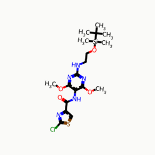 COc1nc(NCCO[Si](C)(C)C(C)(C)C)nc(OC)c1NC(=O)c1csc(Cl)n1